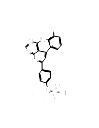 CN(c1ccc(-c2cc(-c3cccc(Br)c3)c3c(N)ncnc3n2)cc1)S(C)(=O)=O